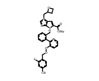 COC(=O)C1=Cc2c(ncn2CC2CCO2)[SH]1Cc1ccccc1-c1ncccc1OOCc1ccc(C#N)cc1F